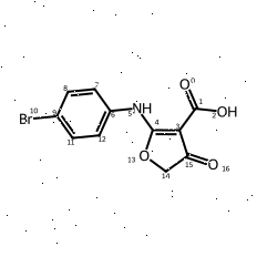 O=C(O)C1=C(Nc2ccc(Br)cc2)OCC1=O